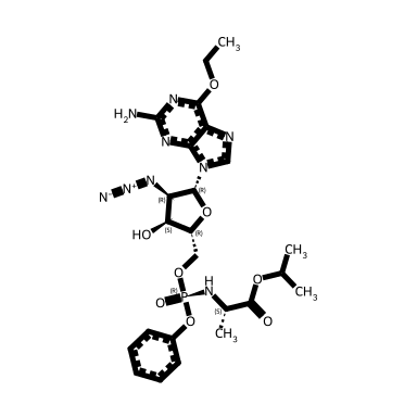 CCOc1nc(N)nc2c1ncn2[C@@H]1O[C@H](CO[P@](=O)(N[C@@H](C)C(=O)OC(C)C)Oc2ccccc2)[C@@H](O)[C@H]1N=[N+]=[N-]